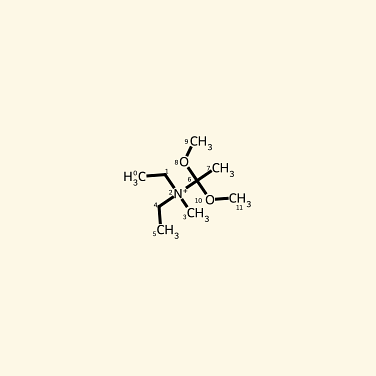 CC[N+](C)(CC)C(C)(OC)OC